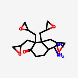 NC(N)C1CCC(=O)C(CC2CO2)(CC2CO2)C1(CC1CO1)CC1CO1